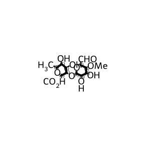 CO[C@H]1[C@H](O)[C@H](O)[C@H](O[C@H]2[C@H](O)[C@H](O)[C@H](C)O[C@H]2C(=O)O)O[C@@H]1C=O